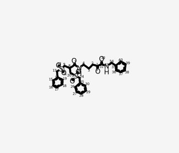 O=C(CCCNC(=O)C(CS(=O)(=O)Cc1ccccc1)CS(=O)(=O)Cc1ccccc1)C(=O)NCc1ccccc1